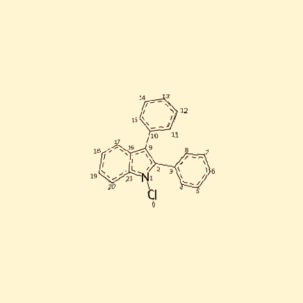 Cln1c(-c2ccccc2)c(-c2ccccc2)c2ccccc21